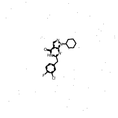 O=c1[nH]c(Cc2ccc(F)c(Cl)c2)nc2c1cnn2C1CCCCC1